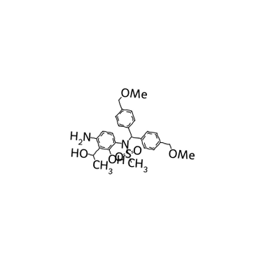 COCc1ccc(C(c2ccc(COC)cc2)N(c2ccc(N)c(C(C)O)c2O)S(C)(=O)=O)cc1